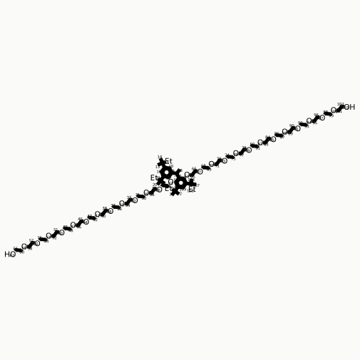 CCC(C)(C)c1cc(C(C)c2cc(C(C)(C)CC)cc(C(C)(C)CC)c2OCCOCCOCCOCCOCCOCCOCCOCCOCCOCCOCCOCCOCCO)c(OCCOCCOCCOCCOCCOCCOCCOCCOCCOCCOCCOCCOCCO)c(C(C)(C)CC)c1